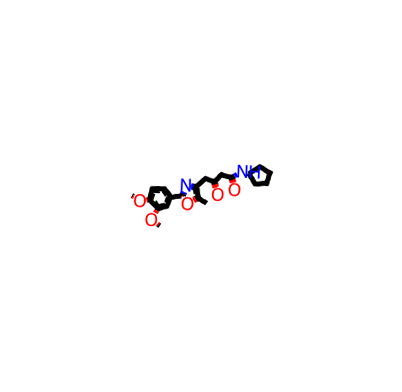 COc1ccc(-c2nc(CC(=O)CC(=O)NC3CCCC3)c(C)o2)cc1OC